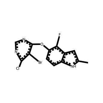 Cc1cc2c(F)c(Oc3ncnc(Cl)c3Br)ccc2[nH]1